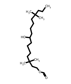 CCCC(C)(C)CCCCC(O)CCCCC(C)(C)CCOC=O